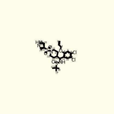 C=CCOc1cc(Cl)c(Cl)cc1C(N[S@@+]([O-])C(C)(C)C)C1CCN(S(=O)(=O)c2cn[nH]c2)CC1